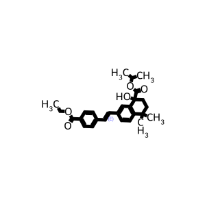 CCOC(=O)c1ccc(/C=C/c2ccc3c(c2)C(O)(C(=O)OC(C)C)CCC3(C)C)cc1